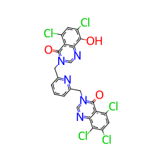 O=c1c2c(Cl)cc(Cl)c(O)c2ncn1Cc1cccc(Cn2cnc3c(Cl)c(Cl)cc(Cl)c3c2=O)n1